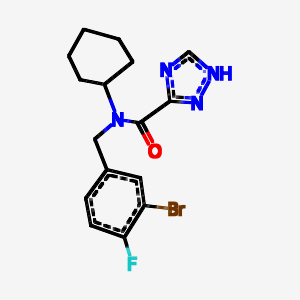 O=C(c1nc[nH]n1)N(Cc1ccc(F)c(Br)c1)C1CCCCC1